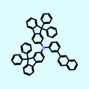 c1ccc(C2(c3ccccc3)c3ccccc3-c3ccc(N(c4cccc(-c5ccc6ccccc6c5)c4)c4ccc5c(c4)C(c4ccccc4)(c4ccccc4)c4ccccc4-5)cc32)cc1